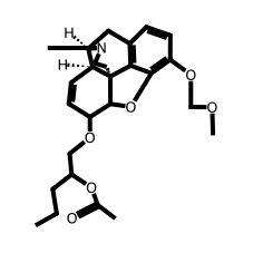 CCCC(COC1C=C[C@H]2[C@H]3Cc4ccc(OCOC)c5c4[C@@]2(CCN3C)C1O5)OC(C)=O